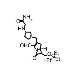 CC[Si](CC)(CC)O[C@H](C)C1C(=O)N2C(C=O)=C(CN3CC[C@H](NCC(N)=O)C3)[C@H](C)[C@H]12